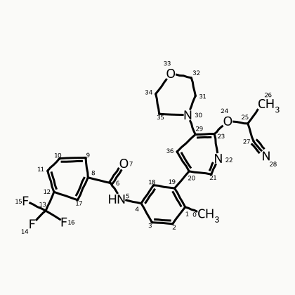 Cc1ccc(NC(=O)c2cccc(C(F)(F)F)c2)cc1-c1cnc(OC(C)C#N)c(N2CCOCC2)c1